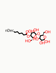 CCCCCCCCCCCCCCCC(=O)O[C@H]1[C@H](O)[C@@H](O)[C@H](O[C@H]2[C@H](O)[C@@H](O)[C@H](O)O[C@@H]2CO)O[C@@H]1CO